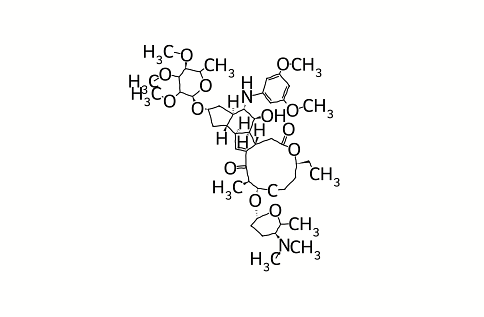 CC[C@H]1CCC[C@H](O[C@H]2CC[C@H](N(C)C)C(C)O2)[C@@H](C)C(=O)C2=C[C@H]3[C@@H]4C[C@H](O[C@@H]5OC(C)[C@H](OC)C(OC)C5OC)C[C@H]4[C@H](Nc4cc(OC)cc(OC)c4)[C@@H](O)[C@H]3[C@@H]2CC(=O)O1